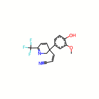 COc1cc(C2(/C=C\C#N)C=CC(C(F)(F)F)=NC2)ccc1O